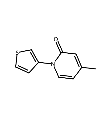 Cc1ccn(-c2ccsc2)c(=O)c1